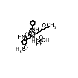 CCC(=O)CCCCC[C@H](NC(=O)Cc1c(C)[nH]c2ccc(OC)cc12)c1ncc(-c2ccccc2)[nH]1.O=C(O)C(F)(F)F